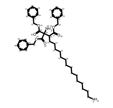 NCCCCCCCCCCCCCCCC(C(=O)OCc1ccccc1)C(N)(C(=O)OCc1ccccc1)C(=O)OCc1ccccc1